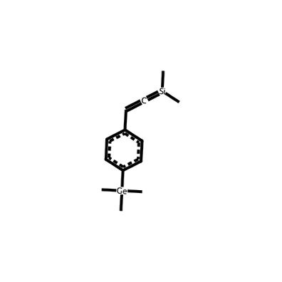 C[Si](C)=C=Cc1cc[c]([Ge]([CH3])([CH3])[CH3])cc1